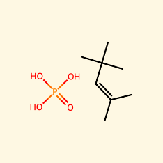 CC(C)=CC(C)(C)C.O=P(O)(O)O